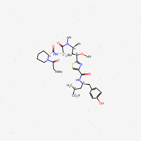 CCCO[C@H](C[C@H](C(C)C)N(CCC)C(=O)[C@@H](NC(=O)[C@H]1CCCCN1C(=O)CNC)[C@@H](C)CC)c1nc(C(=O)N[C@@H](Cc2ccc(O)cc2)C[C@H](C)C(=O)O)cs1